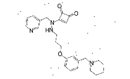 O=c1cc(N(Cc2cccnc2)NCCCOc2cccc(CN3CCCCC3)c2)c1=O